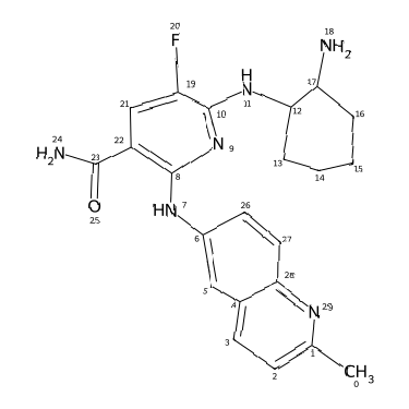 Cc1ccc2cc(Nc3nc(NC4CCCCC4N)c(F)cc3C(N)=O)ccc2n1